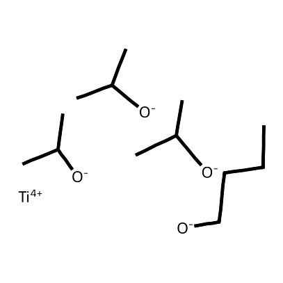 CC(C)[O-].CC(C)[O-].CC(C)[O-].CCCC[O-].[Ti+4]